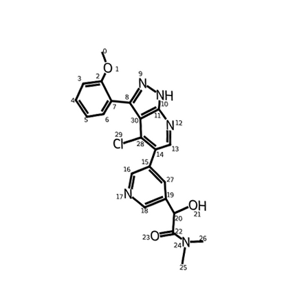 COc1ccccc1-c1n[nH]c2ncc(-c3cncc(C(O)C(=O)N(C)C)c3)c(Cl)c12